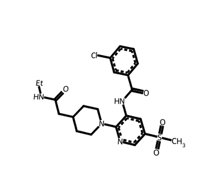 CCNC(=O)CC1CCN(c2ncc(S(C)(=O)=O)cc2NC(=O)c2cccc(Cl)c2)CC1